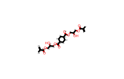 C=C(C)C(=O)OCC(O)COC(=O)C1CCC(C(=O)OCC(O)COC(=O)C(=C)C)CC1